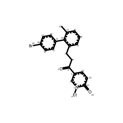 CCn1cc(C(=O)CCc2cccc(C)c2-c2ccc(Br)cc2)ccc1=O